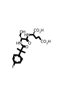 CC(C)(C(=O)N[C@@H](CO)C(=O)N[C@H](CCC(=O)O)C(=O)O)c1ccc(F)cc1